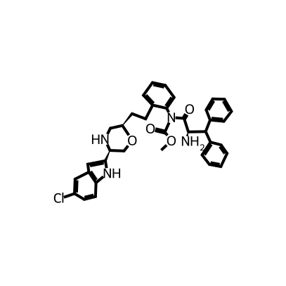 COC(=O)N(C(=O)[C@@H](N)C(c1ccccc1)c1ccccc1)c1ccccc1CC[C@@H]1CN[C@H](c2cc3cc(Cl)ccc3[nH]2)CO1